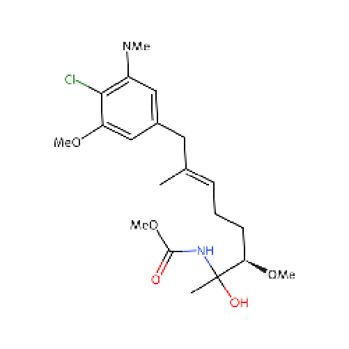 CNc1cc(C/C(C)=C/CC[C@@H](OC)C(C)(O)NC(=O)OC)cc(OC)c1Cl